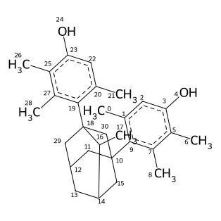 Cc1cc(O)c(C)c(C)c1C12CC3CC(C1)C(C)C(c1c(C)cc(O)c(C)c1C)(C3)C2